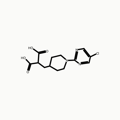 O=C(O)C(CC1CCN(c2ncc(Cl)cn2)CC1)C(=O)O